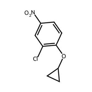 O=[N+]([O-])c1ccc(OC2CC2)c(Cl)c1